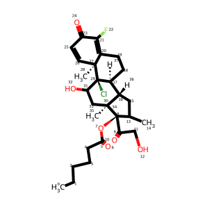 CCCCCC(=O)O[C@]1(C(=O)CO)C(C)C[C@H]2[C@@H]3CCC4=C(F)C(=O)C=C[C@]4(C)[C@@]3(Cl)C(O)C[C@@]21C